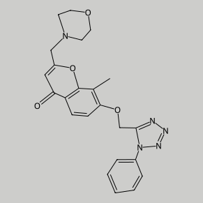 Cc1c(OCc2nnnn2-c2ccccc2)ccc2c(=O)cc(CN3CCOCC3)oc12